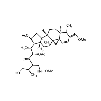 CO/N=C1\C=C[C@]23C[C@]24CC[C@]2(C)[C@@H]([C@H](C)[C@@H](OC(C)=O)C(=O)C(CNOC)[C@@H](C)CO)[C@@H](OC(C)=O)C[C@@]2(C)[C@@H]4CC[C@H]3[C@@H]1C